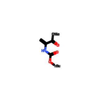 C=C(NC(=O)OCCCC)C(=O)OC